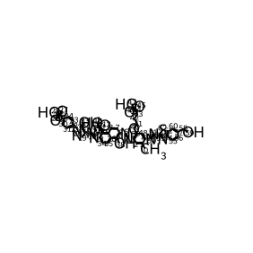 Cc1cc(N=Nc2ccc3c(S(=O)(=O)O)c(N=Nc4cnn(-c5ccc(S(=O)(=O)O)cc5)c4O)ccc3c2O)c(OCCCS(=O)(=O)O)cc1N=Nc1nc2ccc(CO)cc2s1